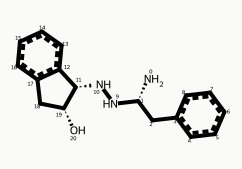 N[C@H](Cc1ccccc1)NN[C@H]1c2ccccc2C[C@H]1O